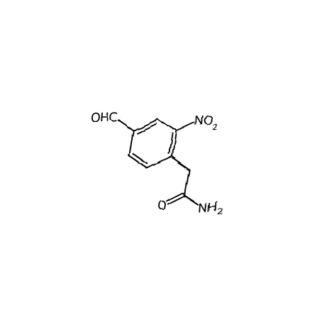 NC(=O)Cc1ccc(C=O)cc1[N+](=O)[O-]